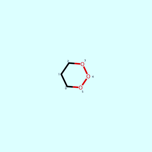 [CH]1CCOOO1